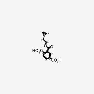 O=C(O)c1ccc(C(=O)O)c(C(=O)OCCN2CC2)c1